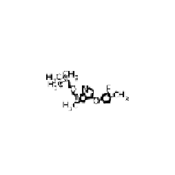 Cc1ccc(Oc2ccnc3c2cc(C)n3COCC[Si](C)(C)C)cc1F